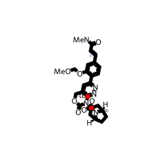 CNC(=O)/C=C/c1ccc(-c2cc3c(nn2)N(C2C[C@H]4CC[C@@H](C2)N4C(=O)OC(C)(C)C)C(=O)OC3)c(OCOC)c1